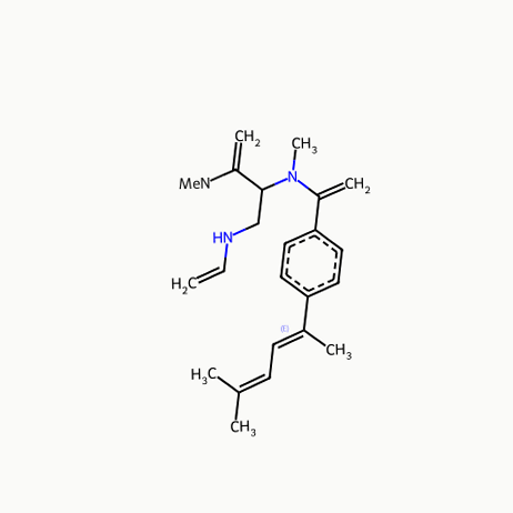 C=CNCC(C(=C)NC)N(C)C(=C)c1ccc(/C(C)=C/C=C(C)C)cc1